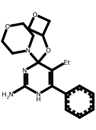 CCC1=C(c2ccccc2)NC(N)=NC1(OC1COC1)N1CCOCC1